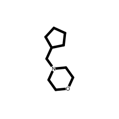 C1CCC(CN2CCOCC2)C1